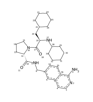 Nc1nccc2cc(CNC(=O)[C@@H]3CCCN3C(=O)[C@@H](CC3CCCCC3)NC3CCCCC3)ccc12